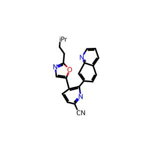 CC(C)CCc1ncc(-c2ccc(C#N)nc2-c2ccc3cccnc3c2)o1